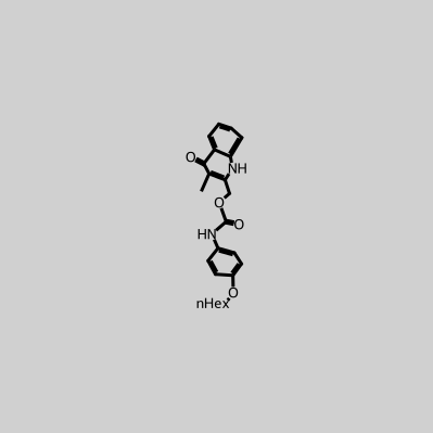 CCCCCCOc1ccc(NC(=O)OCc2[nH]c3ccccc3c(=O)c2C)cc1